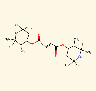 CCC1(C)CC(OC(=O)/C=C/C(=O)OC2CC(C)(CC)NC(C)(CC)C2C)C(C)C(C)(CC)N1